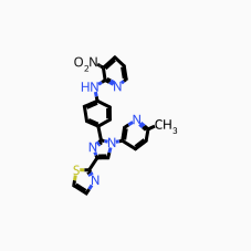 Cc1ccc(-n2cc(-c3nccs3)nc2-c2ccc(Nc3ncccc3[N+](=O)[O-])cc2)cn1